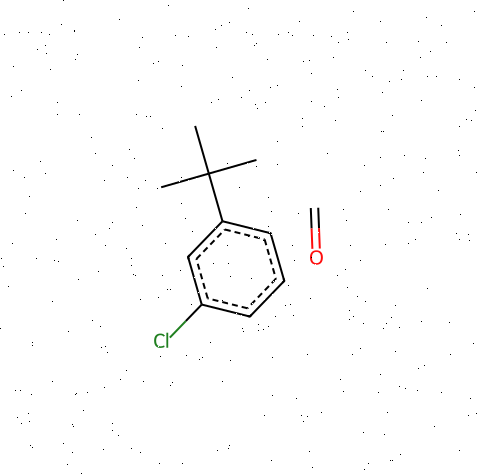 C=O.CC(C)(C)c1cccc(Cl)c1